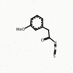 COc1cccc(CC(=O)N=C=S)c1